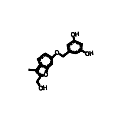 Cc1c(CO)oc2cc(OCc3cc(O)cc(O)c3)ccc12